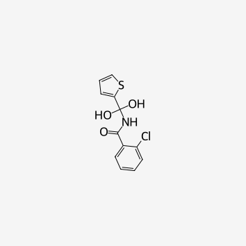 O=C(NC(O)(O)c1cccs1)c1ccccc1Cl